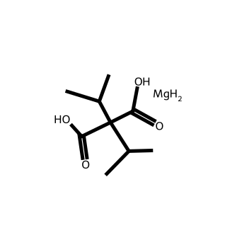 CC(C)C(C(=O)O)(C(=O)O)C(C)C.[MgH2]